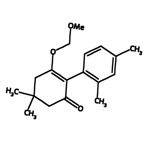 COCOC1=C(c2ccc(C)cc2C)C(=O)CC(C)(C)C1